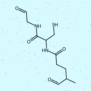 CC(C=O)CCC(=O)NC(CS)C(=O)NCC=O